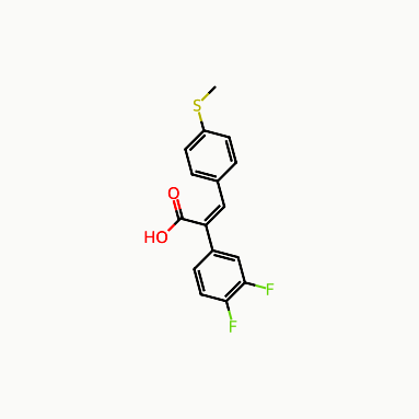 CSc1ccc(/C=C(\C(=O)O)c2ccc(F)c(F)c2)cc1